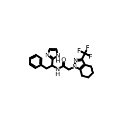 O=C(Cn1nc(C(F)(F)F)c2c1CCCC2)NC(Cc1ccccc1)c1ncc[nH]1